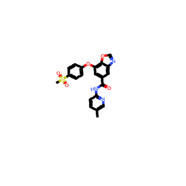 Cc1ccc(NC(=O)c2cc(Oc3ccc(S(C)(=O)=O)cc3)c3ocnc3c2)nc1